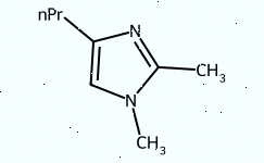 CCCc1cn(C)c(C)n1